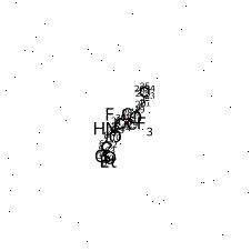 CCS(=O)(=O)c1ccc(CC(=O)Nc2ccc(C(OCCCCc3ccccc3)(C(F)(F)F)C(F)(F)F)cc2)cc1